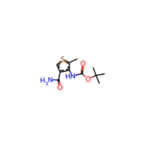 Cc1scc(C(N)=O)c1NC(=O)OC(C)(C)C